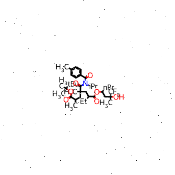 CCCC(CC(C)(O)C(F)(F)F)OC(=O)C(CC)CC(C)(CC(C)C(=O)OC(C)(C)C(C)(C)C)C(=O)N(C(=O)c1ccc(C)cc1)C(C)C